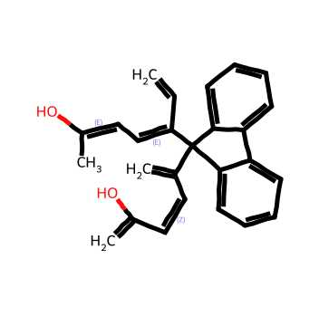 C=C/C(=C\C=C(/C)O)C1(C(=C)/C=C\C(=C)O)c2ccccc2-c2ccccc21